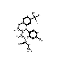 C[C@H](Cc1ccc(C(F)(F)F)cc1)[C@@H](Cc1ccc(F)cc1)[C@H](C)OC(=O)CN